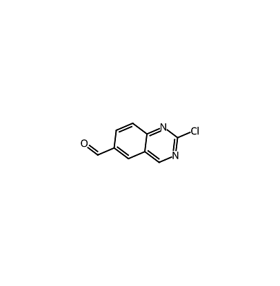 O=Cc1ccc2nc(Cl)ncc2c1